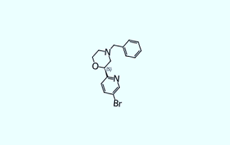 Brc1ccc([C@@H]2CN(Cc3ccccc3)CCO2)nc1